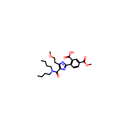 CCCCN(CCCC)C(=O)c1nc(-c2ccc(C(=O)OC)cc2C(=O)O)[nH]c1CCOC